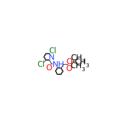 CC(C)(C)OC(=O)Cc1ccccc1NC(=O)c1nc(Cl)ccc1Cl